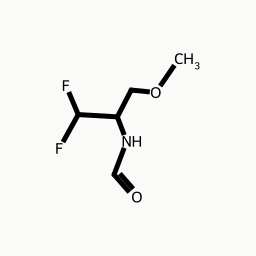 COCC(NC=O)C(F)F